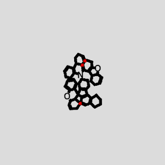 C1=CC(C2CC=CCC2)=C(N(C2=CCCC3=C2C2CCC=CC2O3)C2CCC3=C(C2)C2(c4ccccc4OC4C=CCCC42)c2ccc4c(c23)CCCC4)CC1